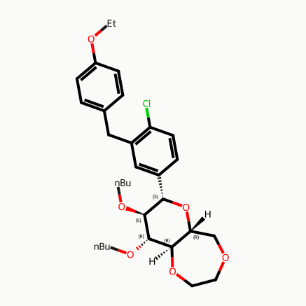 CCCCO[C@@H]1[C@@H](OCCCC)[C@H](c2ccc(Cl)c(Cc3ccc(OCC)cc3)c2)O[C@@H]2COCCO[C@@H]12